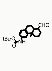 CC(C)(C)OC(=O)Nc1ccc2c(c1)C1(C)CCCC(C=O)C1CC2